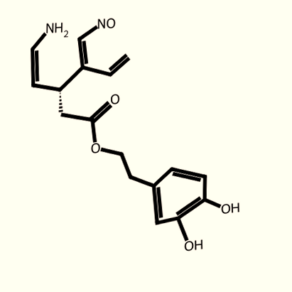 C=C/C(=C\N=O)[C@@H](/C=C\N)CC(=O)OCCc1ccc(O)c(O)c1